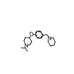 CC(C)N1CCC(Oc2ccc(CN3CCCCC3)cc2)CC1